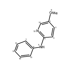 COc1ccc(Nc2ccccc2)nc1